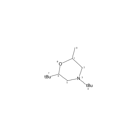 CC1CN(C(C)(C)C)CC(C(C)(C)C)O1